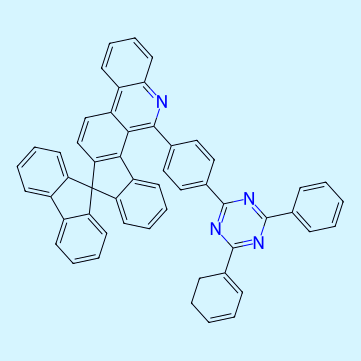 C1=CCCC(c2nc(-c3ccccc3)nc(-c3ccc(-c4nc5ccccc5c5ccc6c(c45)-c4ccccc4C64c5ccccc5-c5ccccc54)cc3)n2)=C1